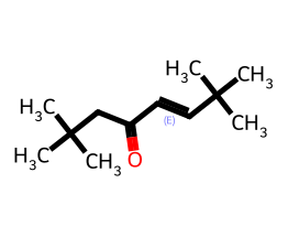 CC(C)(C)/C=C/C(=O)CC(C)(C)C